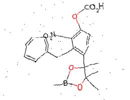 CB1OC(C)(C)C(C)(c2ccc(OC(=O)O)c([N+](=O)[O-])c2Cc2ccccc2)O1